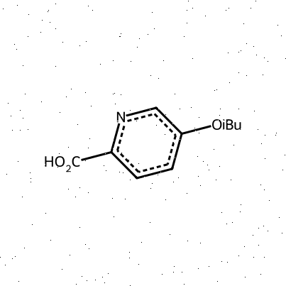 CC(C)COc1ccc(C(=O)O)nc1